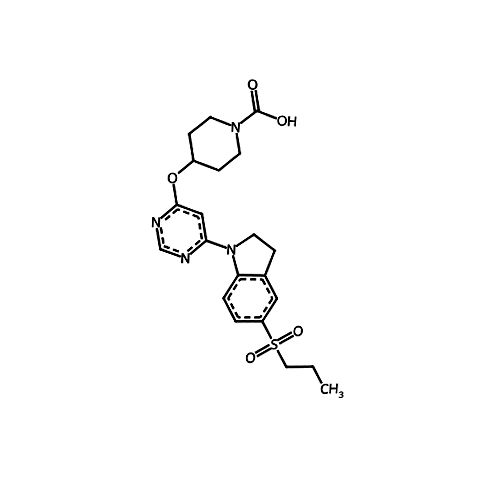 CCCS(=O)(=O)c1ccc2c(c1)CCN2c1cc(OC2CCN(C(=O)O)CC2)ncn1